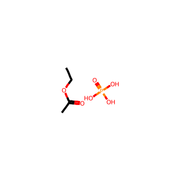 CCOC(C)=O.O=P(O)(O)O